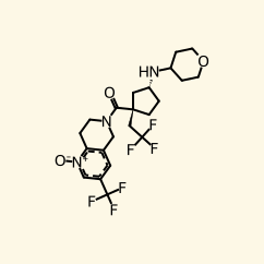 O=C(N1CCc2c(cc(C(F)(F)F)c[n+]2[O-])C1)[C@@]1(CC(F)(F)F)CC[C@@H](NC2CCOCC2)C1